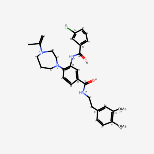 C=C(C)N1CCCN(c2ccc(C(=O)NCCc3ccc(OC)c(OC)c3)cc2NC(=O)c2cccc(Cl)c2)CC1